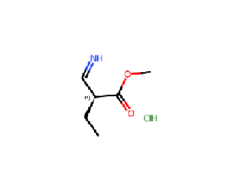 CC[C@@H](C=N)C(=O)OC.Cl